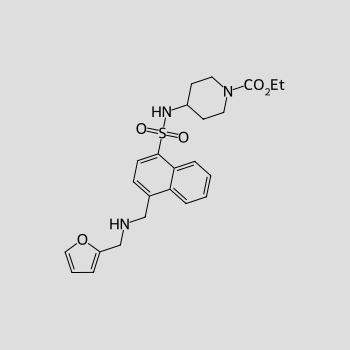 CCOC(=O)N1CCC(NS(=O)(=O)c2ccc(CNCc3ccco3)c3ccccc23)CC1